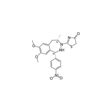 COc1cc2c(cc1OC)[C@@H](c1ccc([N+](=O)[O-])cc1)NN(C1=NC(=O)CS1)[C@@H](C)C2